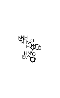 CC[C@@H](NC(=O)c1cc(C(=O)NCc2ncn[nH]2)n2c1COCC2)c1ccccc1